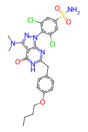 CCCCOc1ccc(Cc2nc3c(c(N(C)C)nn3-c3c(Cl)cc(S(N)(=O)=O)cc3Cl)c(=O)[nH]2)cc1